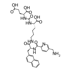 NCc1ccc(C(=O)N[C@@H](Cc2ccc3ccccc3c2)C(=O)NCCCC[C@H](NC(=O)N[C@@H](CCC(=O)O)C(=O)O)C(=O)O)nc1